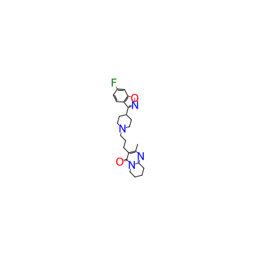 Cc1nc2n(c(=O)c1CCCN1CCC(c3noc4cc(F)ccc34)CC1)CCCC2